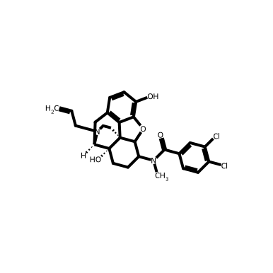 C=CCN1CC[C@]23c4c5ccc(O)c4OC2C(N(C)C(=O)c2ccc(Cl)c(Cl)c2)CC[C@@]3(O)[C@H]1C5